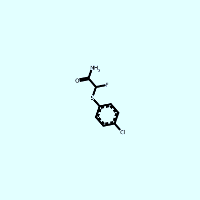 NC(=O)C(F)Sc1ccc(Cl)cc1